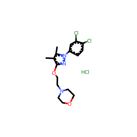 Cc1c(OCCN2CCOCC2)nn(-c2ccc(Cl)c(Cl)c2)c1C.Cl